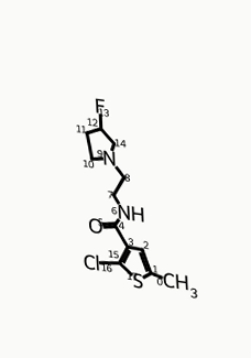 Cc1cc(C(=O)NCCN2CCC(F)C2)c(Cl)s1